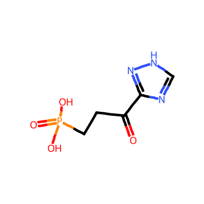 O=C(CCP(=O)(O)O)c1nc[nH]n1